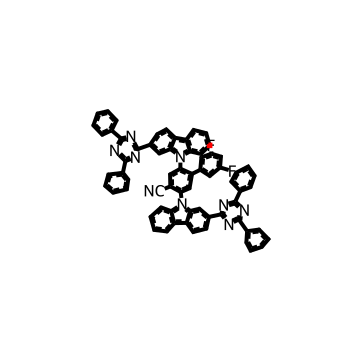 N#Cc1cc(-n2c3ccccc3c3ccc(-c4nc(-c5ccccc5)nc(-c5ccccc5)n4)cc32)c(-c2cc(F)cc(F)c2)cc1-n1c2ccccc2c2ccc(-c3nc(-c4ccccc4)nc(-c4ccccc4)n3)cc21